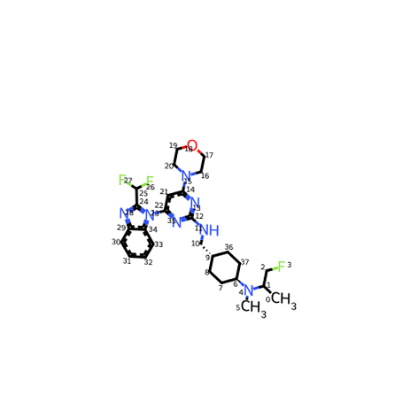 CC(CF)N(C)[C@H]1CC[C@H](CNc2nc(N3CCOCC3)cc(-n3c(C(F)F)nc4ccccc43)n2)CC1